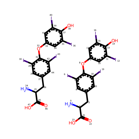 NC(Cc1cc(I)c(Oc2cc(I)c(O)c(I)c2)c(I)c1)C(=O)O.NC(Cc1cc(I)c(Oc2cc(I)c(O)c(I)c2)c(I)c1)C(=O)O